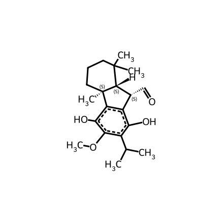 COc1c(O)c2c(c(O)c1C(C)C)[C@@H](C=O)[C@H]1C(C)(C)CCC[C@]21C